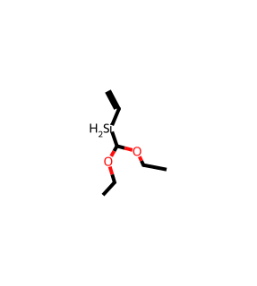 C=C[SiH2]C(OCC)OCC